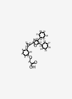 O=C(O)COc1cccc(C2CC2c2nc(-c3ccccc3)c(-c3ccccc3)o2)c1